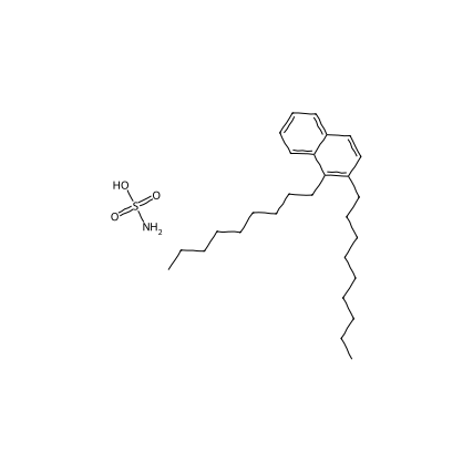 CCCCCCCCCc1ccc2ccccc2c1CCCCCCCCC.NS(=O)(=O)O